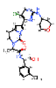 Cc1cccc([C@@H](CO)NC(=O)[C@@H](C)N2CCc3cc(-c4nc(NC5CCOCC5)ncc4Cl)cn3C2=O)c1